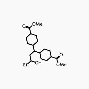 CCC(O)CC(C1CCC(C(=O)OC)CC1)C1CCC(C(=O)OC)CC1